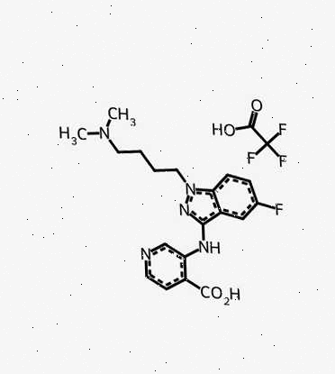 CN(C)CCCCn1nc(Nc2cnccc2C(=O)O)c2cc(F)ccc21.O=C(O)C(F)(F)F